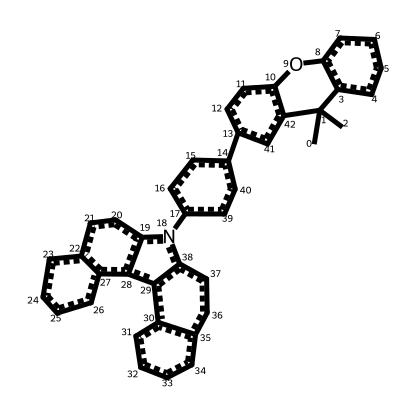 CC1(C)c2ccccc2Oc2ccc(-c3ccc(-n4c5ccc6ccccc6c5c5c6ccccc6ccc54)cc3)cc21